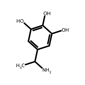 CC(N)c1cc(O)c(O)c(O)c1